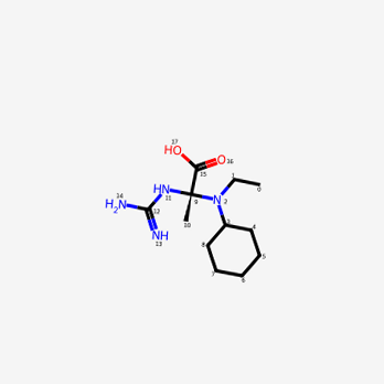 CCN(C1CCCCC1)[C@](C)(NC(=N)N)C(=O)O